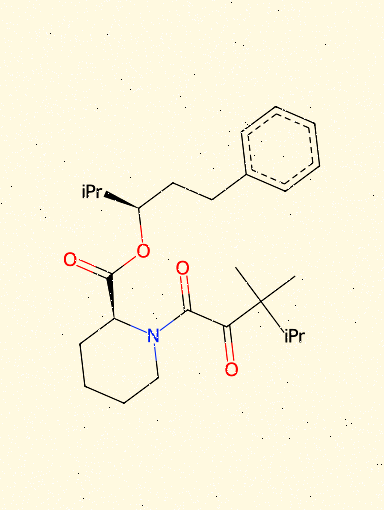 CC(C)[C@@H](CCc1ccccc1)OC(=O)[C@@H]1CCCCN1C(=O)C(=O)C(C)(C)C(C)C